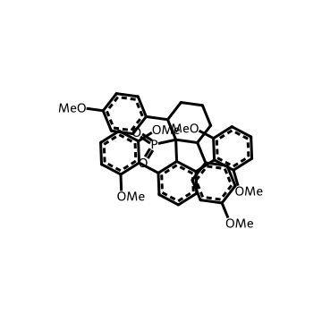 COc1ccc(C2CCCC(c3ccc(OC)cc3)C2(c2c(-c3c(OC)cccc3OC)cccc2-c2c(OC)cccc2OC)P(=O)=O)cc1